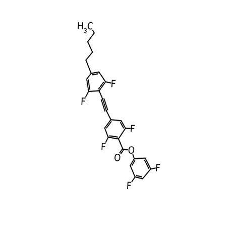 CCCCCc1cc(F)c(C#Cc2cc(F)c(C(=O)Oc3cc(F)cc(F)c3)c(F)c2)c(F)c1